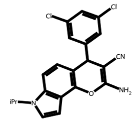 CC(C)n1ccc2c3c(ccc21)C(c1cc(Cl)cc(Cl)c1)C(C#N)=C(N)O3